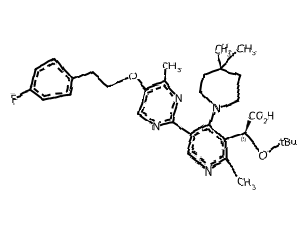 Cc1nc(-c2cnc(C)c([C@H](OC(C)(C)C)C(=O)O)c2N2CCC(C)(C)CC2)ncc1OCCc1ccc(F)cc1